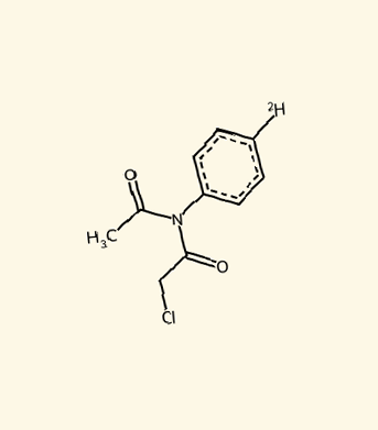 [2H]c1ccc(N(C(C)=O)C(=O)CCl)cc1